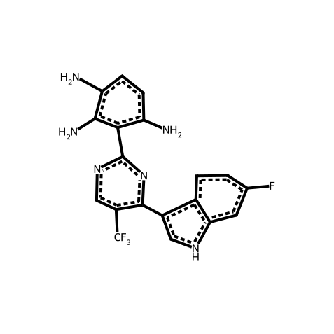 Nc1ccc(N)c(-c2ncc(C(F)(F)F)c(-c3c[nH]c4cc(F)ccc34)n2)c1N